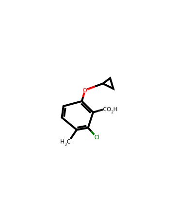 Cc1ccc(OC2CC2)c(C(=O)O)c1Cl